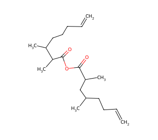 C=CCCCC(C)C(C)C(=O)OC(=O)C(C)CC(C)CCC=C